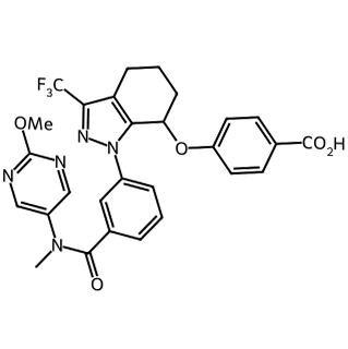 COc1ncc(N(C)C(=O)c2cccc(-n3nc(C(F)(F)F)c4c3C(Oc3ccc(C(=O)O)cc3)CCC4)c2)cn1